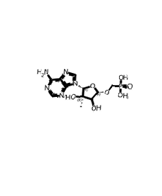 C[C@@]1(O)C(O)[C@@H](OCP(=O)(O)O)O[C@H]1n1cnc2c(N)ncnc21